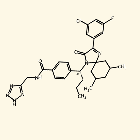 CCC[C@H](c1ccc(C(=O)NCc2nn[nH]n2)cc1)N1C(=O)C(c2cc(F)cc(Cl)c2)=NC12CC(C)CC(C)C2